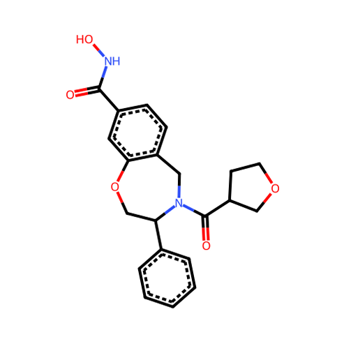 O=C(NO)c1ccc2c(c1)OCC(c1ccccc1)N(C(=O)C1CCOC1)C2